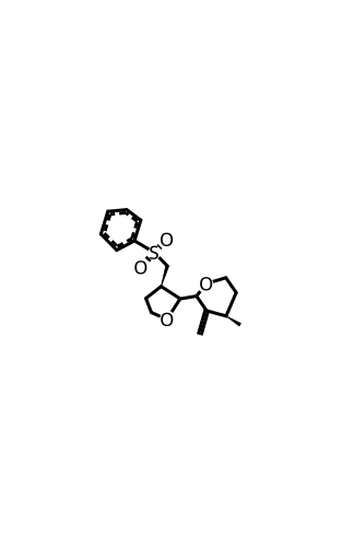 C=C1C(C2OCC[C@H]2CS(=O)(=O)c2ccccc2)OCC[C@H]1C